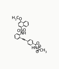 COc1ccc(S(=O)(=O)Nc2ccccc2C#Cc2ccc(C(=O)NS(C)(=O)=O)cc2)c2ccccc12